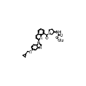 CC(C)(C)OC(=O)NC1CCN(C(=O)c2cccc3ccc(-n4cnc5cc(OCC6CC6)ccc54)nc23)C1